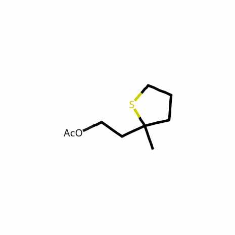 CC(=O)OCCC1(C)CCCS1